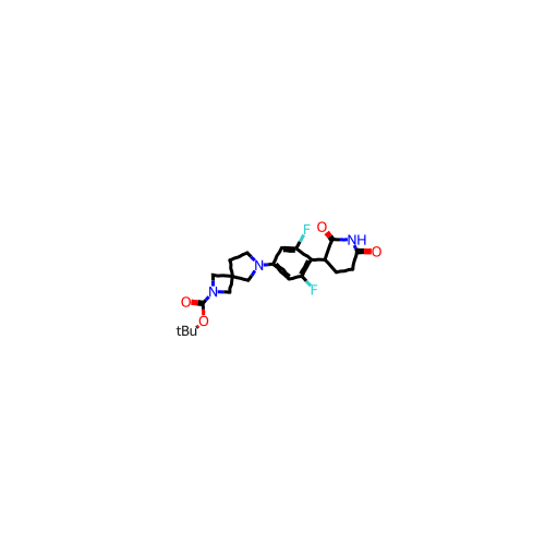 CC(C)(C)OC(=O)N1CC2(CCN(c3cc(F)c(C4CCC(=O)NC4=O)c(F)c3)C2)C1